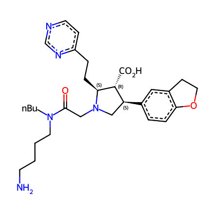 CCCCN(CCCCN)C(=O)CN1C[C@H](c2ccc3c(c2)CCO3)[C@@H](C(=O)O)[C@@H]1CCc1ccncn1